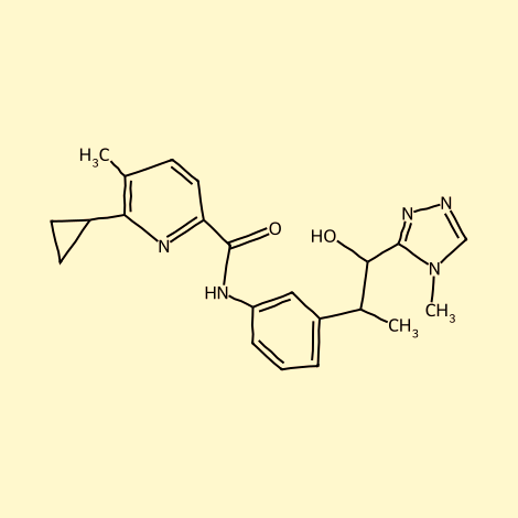 Cc1ccc(C(=O)Nc2cccc(C(C)C(O)c3nncn3C)c2)nc1C1CC1